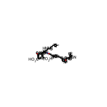 Cc1ccc(CCCC(=O)NCCCC[C@@H](N/N=C/CCCCCC(=O)N2CCN(CCCCOc3ccc4nccc(C(=O)NCC(=O)N5CC(F)(F)C[C@@H]5C#N)c4c3)CC2)NC(=O)CN2CCN(CC(=O)O)CCN(CC(=O)O)CCN(CC(=O)O)CC2)cc1